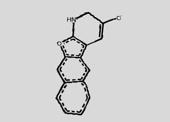 ClC1=Cc2c(oc3cc4ccccc4cc23)NC1